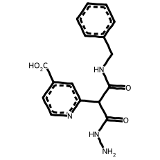 NNC(=O)C(C(=O)NCc1ccccc1)c1cc(C(=O)O)ccn1